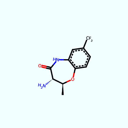 C[C@@H]1Oc2ccc(C(F)(F)F)cc2NC(=O)[C@H]1N